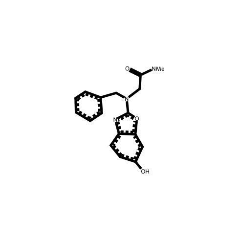 CNC(=O)CN(Cc1ccccc1)c1nc2ccc(O)cc2o1